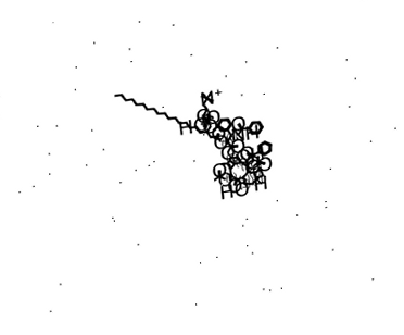 CCCCCCCCCCCCCCCCCC(CC(=O)O[C@@H](C(=O)O[C@H]1C[C@@]2(O)[C@@H](OC(=O)c3ccccc3)C3[C@](C)(C(=O)[C@H](OC(C)=O)C(=C1C)C2(C)C)[C@@H](O)C[C@H]1CC[C@@]31OC(C)=O)[C@@H](NC(=O)c1ccccc1)c1ccccc1)OP(=O)(O)OCC[N+](C)(C)C